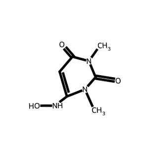 Cn1c(NO)cc(=O)n(C)c1=O